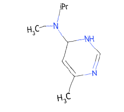 CC1=CC(N(C)C(C)C)NC=N1